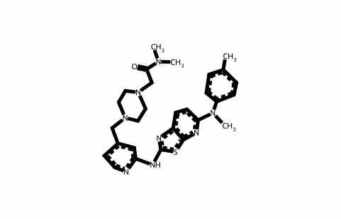 Cc1ccc(N(C)c2ccc3nc(Nc4cc(CN5CCN(CC(=O)N(C)C)CC5)ccn4)sc3n2)cc1